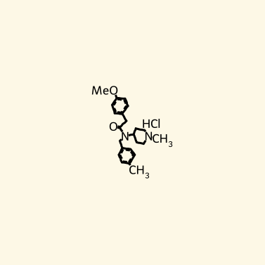 COc1ccc(CC(=O)N(Cc2ccc(C)cc2)C2CCN(C)CC2)cc1.Cl